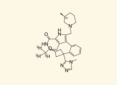 [2H]C([2H])([2H])OC1CC(c2ccccc2-c2c(CN3CCC[C@H](C)C3)[nH]c3c(=O)[nH]ccc23)(c2nncn2C)C1